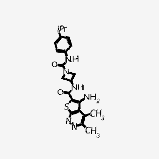 Cc1nnc2sc(C(=O)NC3CN(C(=O)Nc4ccc(C(C)C)cc4)C3)c(N)c2c1C